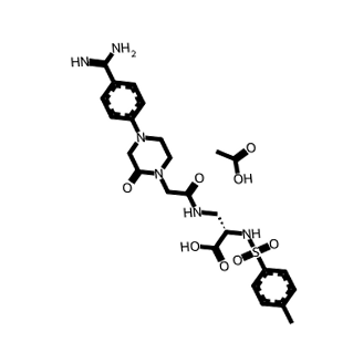 CC(=O)O.Cc1ccc(S(=O)(=O)N[C@@H](CNC(=O)CN2CCN(c3ccc(C(=N)N)cc3)CC2=O)C(=O)O)cc1